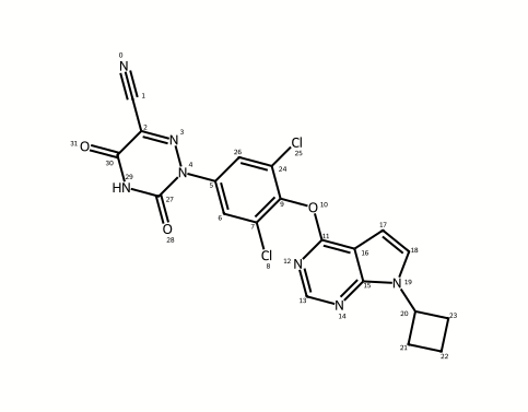 N#Cc1nn(-c2cc(Cl)c(Oc3ncnc4c3ccn4C3CCC3)c(Cl)c2)c(=O)[nH]c1=O